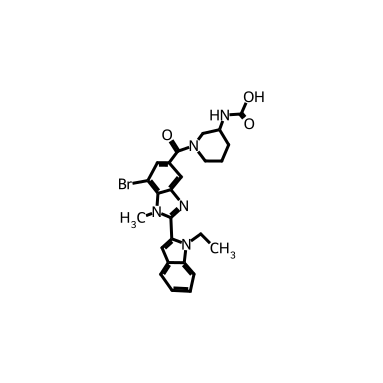 CCn1c(-c2nc3cc(C(=O)N4CCCC(NC(=O)O)C4)cc(Br)c3n2C)cc2ccccc21